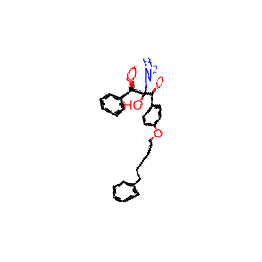 NC(O)(C(=O)c1ccccc1)C(=O)c1ccc(OCCCCc2ccccc2)cc1